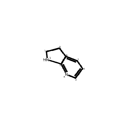 [CH]1CNc2ncccc21